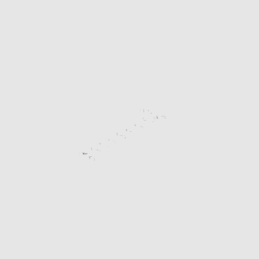 CC(C)CCCCCCCCCCCCCCC(=O)Cl